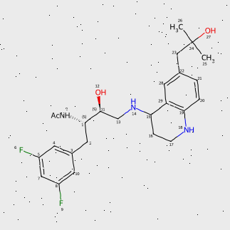 CC(=O)N[C@@H](Cc1cc(F)cc(F)c1)[C@@H](O)CNC1CCNc2ccc(CC(C)(C)O)cc21